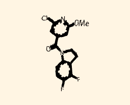 COc1cc(C(=O)N2CCc3c2ccc(F)c3F)cc(Cl)n1